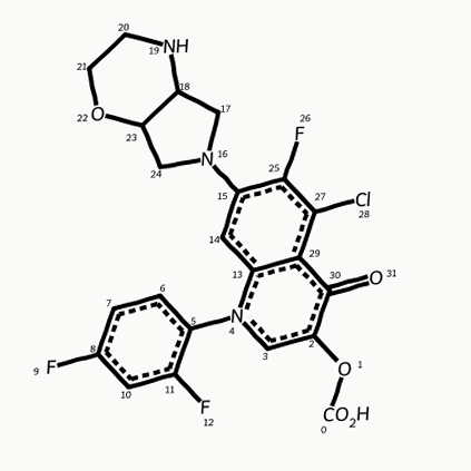 O=C(O)Oc1cn(-c2ccc(F)cc2F)c2cc(N3CC4NCCOC4C3)c(F)c(Cl)c2c1=O